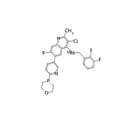 Cc1nc2cc(F)c(-c3ccc(P4CCOCC4)nc3)cc2c(NCc2cccc(F)c2F)c1Cl